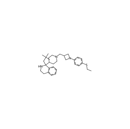 CCSc1ccc(N2CC(CN3CCC(C4(CC(C)(C)C)NCCc5ccccc54)CC3)C2)cc1